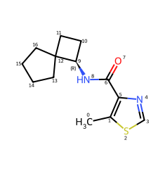 Cc1scnc1C(=O)N[C@@H]1CCC12CCCC2